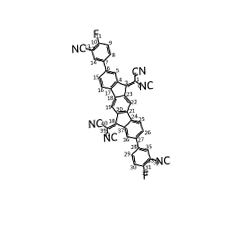 [C-]#[N+]/C(C#N)=C1/c2cc(-c3ccc(F)c(C#N)c3)ccc2-c2cc3c(cc21)-c1ccc(-c2ccc(F)c([N+]#[C-])c2)cc1/C3=C(/C#N)[N+]#[C-]